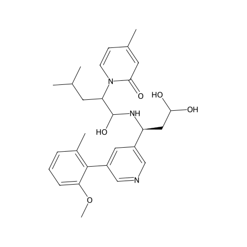 COc1cccc(C)c1-c1cncc([C@H](CC(O)O)NC(O)C(CC(C)C)n2ccc(C)cc2=O)c1